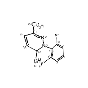 O=C(O)C1=NN(c2c(F)cccc2F)C(O)C=C1